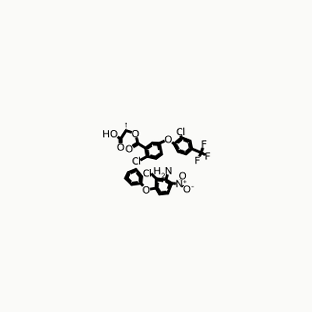 C[C@H](OC(=O)c1cc(Oc2ccc(C(F)(F)F)cc2Cl)ccc1Cl)C(=O)O.Nc1c([N+](=O)[O-])ccc(Oc2ccccc2)c1Cl